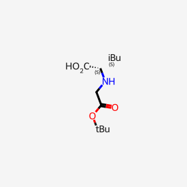 CC[C@H](C)[C@H](NCC(=O)OC(C)(C)C)C(=O)O